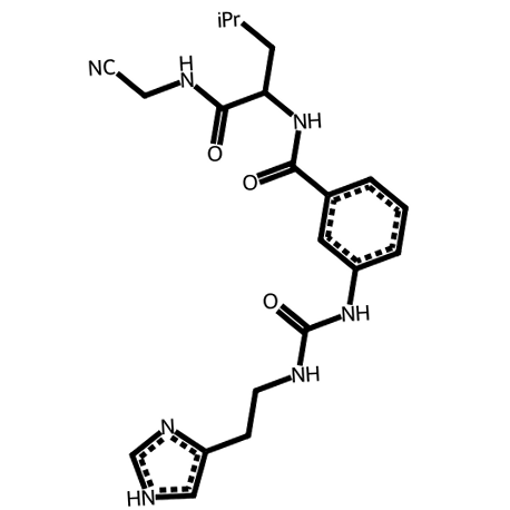 CC(C)CC(NC(=O)c1cccc(NC(=O)NCCc2c[nH]cn2)c1)C(=O)NCC#N